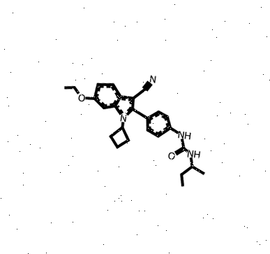 CCOc1ccc2c(C#N)c(-c3ccc(NC(=O)NC(C)CC)cc3)n(C3CCC3)c2c1